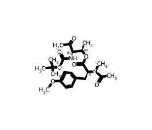 COc1ccc(C[C@@H](C(=O)O[C@H](C)[C@H](NC(=O)OC(C)(C)C)C(C)=O)N(C)C(C)=O)cc1